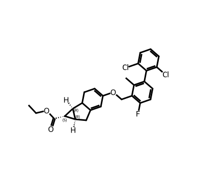 CCOC(=O)[C@H]1[C@@H]2CC3=CC(OCc4c(F)ccc(-c5c(Cl)cccc5Cl)c4C)=CCC3[C@@H]21